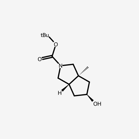 CC(C)(C)OC(=O)N1C[C@H]2C[C@H](O)C[C@]2(C)C1